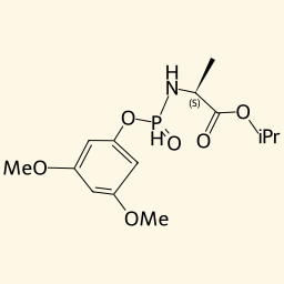 COc1cc(OC)cc(O[PH](=O)N[C@@H](C)C(=O)OC(C)C)c1